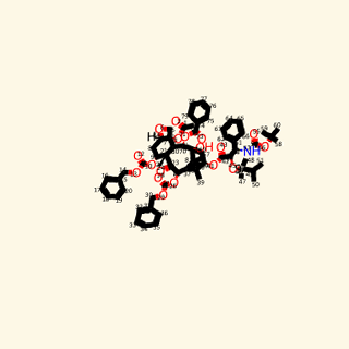 CC(=O)O[C@@]12CO[C@@H]1C[C@H](OC(=O)OCc1ccccc1)[C@@]1(C)C(=O)[C@H](OC(=O)OCc3ccccc3)C3=C(C)[C@@H](OC(=O)[C@H](O[Si](C)(C)C(C)C)[C@@H](NC(=O)OC(C)(C)C)c4ccccc4)C[C@@](O)([C@@H](OC(=O)c4ccccc4)C12)C3(C)C